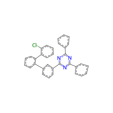 Clc1ccccc1-c1ccccc1-c1cccc(-c2nc(-c3ccccc3)nc(-c3ccccc3)n2)c1